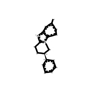 Cc1ccc2c(c1)nc1n2C[C@@H](c2ccccc2)CC1